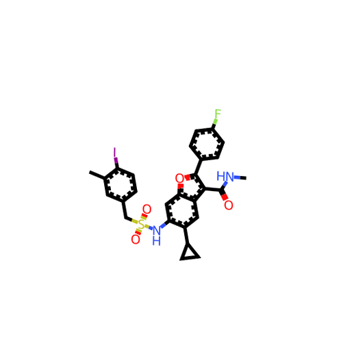 CNC(=O)c1c(-c2ccc(F)cc2)oc2cc(NS(=O)(=O)Cc3ccc(I)c(C)c3)c(C3CC3)cc12